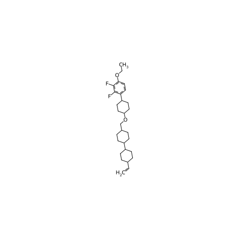 C=CC1CCC(C2CCC(COC3CCC(c4ccc(OCC)c(F)c4F)CC3)CC2)CC1